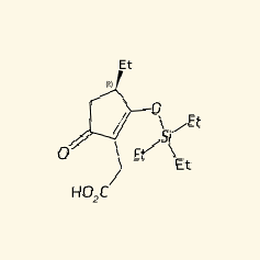 CC[C@@H]1CC(=O)C(CC(=O)O)=C1O[Si](CC)(CC)CC